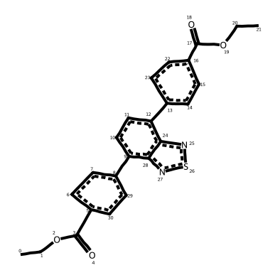 CCOC(=O)c1ccc(-c2ccc(-c3ccc(C(=O)OCC)cc3)c3nsnc23)cc1